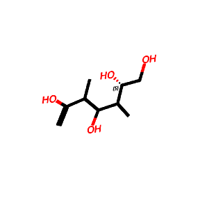 C=C(O)C(C)C(O)C(C)[C@H](O)CO